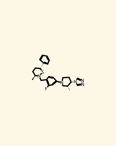 C[C@@H]1CN(c2ccc(CN3S[C@@H](c4ccccc4)CC[C@@H]3C)c(F)c2)CC[C@@H]1n1cnnc1